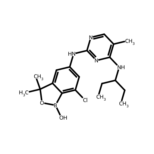 CCC(CC)Nc1nc(Nc2cc(Cl)c3c(c2)C(C)(C)OB3O)ncc1C